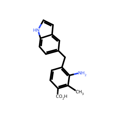 Cc1c(C(=O)O)ccc(Cc2ccc3[nH]ccc3c2)c1N